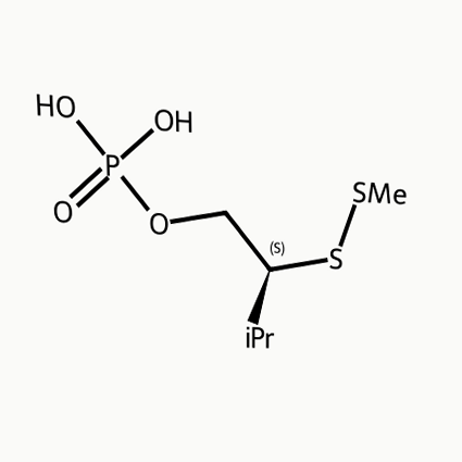 CSS[C@H](COP(=O)(O)O)C(C)C